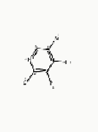 Fc1c(Cl)ncc(Br)c1I